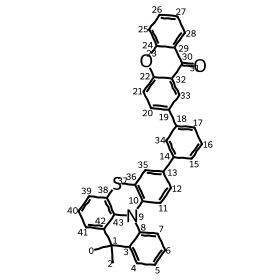 CC1(C)c2ccccc2N2c3ccc(-c4cccc(-c5ccc6oc7ccccc7c(=O)c6c5)c4)cc3Sc3cccc1c32